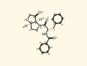 O=C(N[C@@H](Cc1ccccc1)C(=O)N1CC[C@H]2OCC(=O)[C@H]21)c1ccccc1